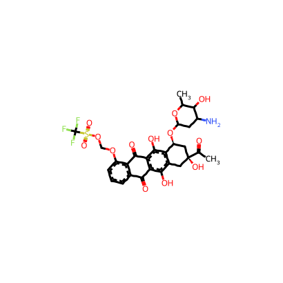 CC(=O)[C@]1(O)Cc2c(O)c3c(c(O)c2[C@@H](OC2CC(N)C(O)C(C)O2)C1)C(=O)c1c(OCOS(=O)(=O)C(F)(F)F)cccc1C3=O